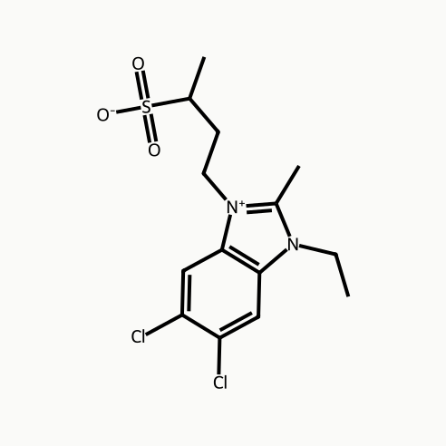 CCn1c(C)[n+](CCC(C)S(=O)(=O)[O-])c2cc(Cl)c(Cl)cc21